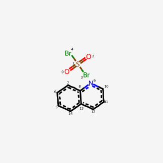 O=S(=O)(Br)Br.c1ccc2ncccc2c1